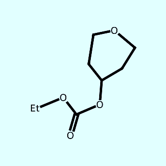 [CH2]COC(=O)OC1CCOCC1